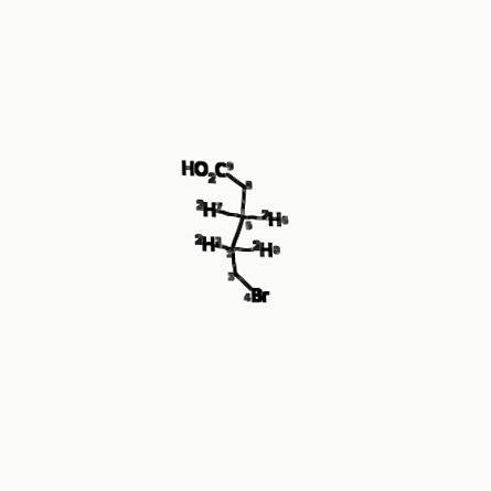 [2H]C([2H])(CBr)C([2H])([2H])CC(=O)O